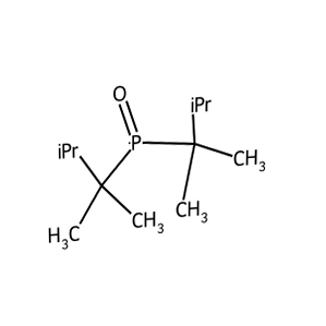 CC(C)C(C)(C)[P](=O)C(C)(C)C(C)C